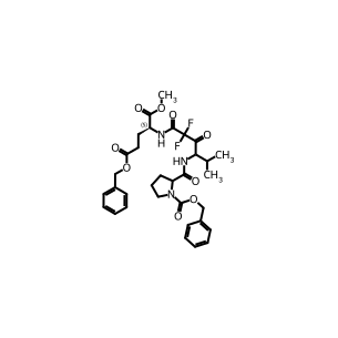 COC(=O)[C@H](CCC(=O)OCc1ccccc1)NC(=O)C(F)(F)C(=O)C(NC(=O)C1CCCN1C(=O)OCc1ccccc1)C(C)C